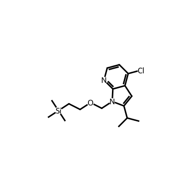 CC(C)c1cc2c(Cl)ccnc2n1COCC[Si](C)(C)C